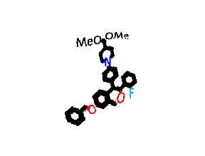 COC(OC)C1CCN(c2ccc(C3c4ccc(OCc5ccccc5)cc4COC3c3ccccc3F)cc2)CC1